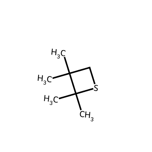 CC1(C)CSC1(C)C